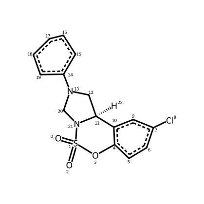 O=S1(=O)Oc2ccc(Cl)cc2[C@@H]2CN(c3ccccc3)CN21